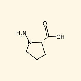 NN1CCC[C@H]1C(=O)O